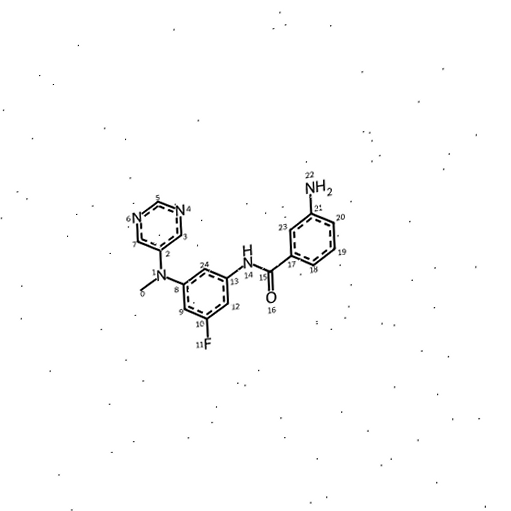 CN(c1cncnc1)c1cc(F)cc(NC(=O)c2cccc(N)c2)c1